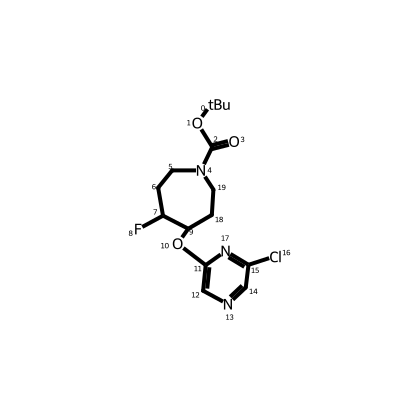 CC(C)(C)OC(=O)N1CCC(F)C(Oc2cncc(Cl)n2)CC1